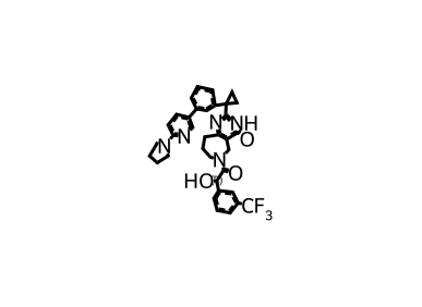 O=C([C@H](O)c1cccc(C(F)(F)F)c1)N1CCCc2nc(C3(c4cccc(-c5ccc(N6CCCC6)nc5)c4)CC3)[nH]c(=O)c2C1